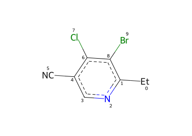 CCc1ncc(C#N)c(Cl)c1Br